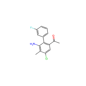 CC(=O)c1cc(Cl)c(C)c(N)c1-c1cccc(F)c1